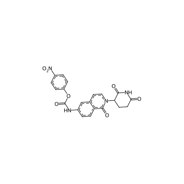 O=C1CCC(n2ccc3cc(NC(=O)Oc4ccc([N+](=O)[O-])cc4)ccc3c2=O)C(=O)N1